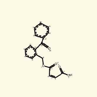 O=C(O)/C=C\C(=O)OCc1ccccc1C(=O)c1ccccc1